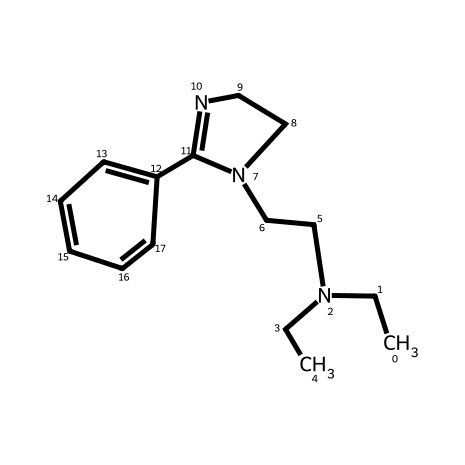 CCN(CC)CCN1CCN=C1c1ccccc1